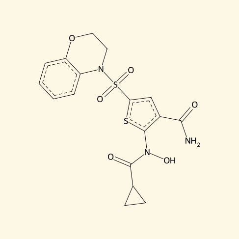 NC(=O)c1cc(S(=O)(=O)N2CCOc3ccccc32)sc1N(O)C(=O)C1CC1